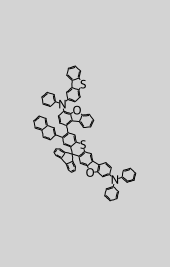 C1=C=C(N(c2ccccc2)c2ccc3c(c2)oc2cc4c(cc23)Sc2cc(-c3ccc(N(c5ccccc5)c5ccc6sc7ccccc7c6c5)c5oc6ccccc6c35)c(-c3ccc5ccccc5c3)cc2C42c3ccccc3-c3ccccc32)C=CC=1